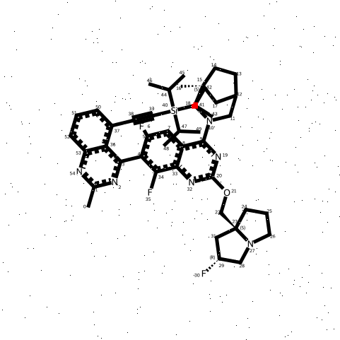 Cc1nc(-c2c(F)cc3c(N4CC5CC[C@@](C)(C5)C4)nc(OC[C@@]45CCCN4C[C@H](F)C5)nc3c2F)c2c(C#C[Si](C(C)C)(C(C)C)C(C)C)cccc2n1